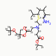 C/C(=C\N)C(C)C(C)C(SCCN(CCC(=O)OC(C)C)CCC(=O)OC(C)(C)COC(C)(C)C)C(C)C